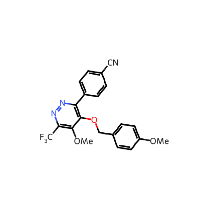 COc1ccc(COc2c(-c3ccc(C#N)cc3)nnc(C(F)(F)F)c2OC)cc1